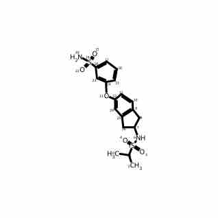 CC(C)S(=O)(=O)NC1Cc2ccc(Oc3cccc(S(N)(=O)=O)c3)cc2C1